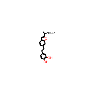 CC(=O)NC(C)c1cc2ccc(CCc3ccc(O)c(O)c3)cc2o1